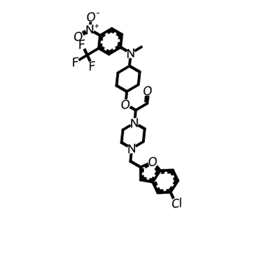 CN(c1ccc([N+](=O)[O-])c(C(F)(F)F)c1)C1CCC(OC(C=O)N2CCN(Cc3cc4cc(Cl)ccc4o3)CC2)CC1